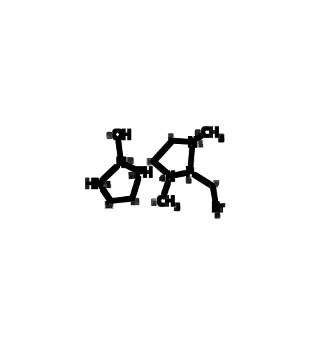 CN1CCN(C)P1CBr.ON1NCCP1